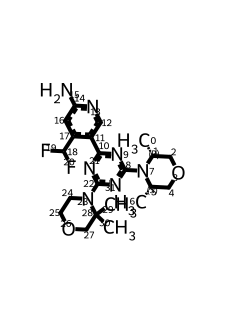 C[C@@H]1COC[C@H](C)N1c1nc(-c2cnc(N)cc2C(F)F)nc(N2CCOCC2(C)C)n1